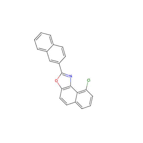 Clc1cccc2ccc3oc(-c4ccc5ccccc5c4)nc3c12